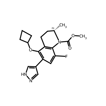 COC(=O)N1c2c(F)cc(-c3cn[nH]c3)c(OC3CCC3)c2CC[C@@H]1C